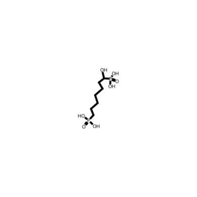 O=P(O)(O)CCCCCCC(O)P(=O)(O)O